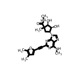 CNC(=O)C1(C)C[C@@H](n2cnc3c(NC)nc(C#Cc4cc(C)c(C)o4)nc32)[C@H](O)[C@@H]1O